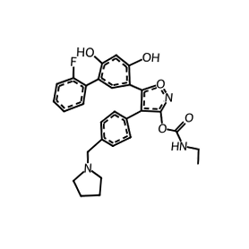 CCNC(=O)Oc1noc(-c2cc(-c3ccccc3F)c(O)cc2O)c1-c1ccc(CN2CCCC2)cc1